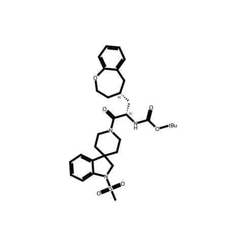 CC(C)(C)OC(=O)N[C@@H](C[C@@H]1CCOc2ccccc2C1)C(=O)N1CCC2(CC1)CN(S(C)(=O)=O)c1ccccc12